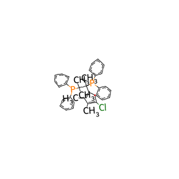 CC1=C(Cl)CC(C(C)(P(c2ccccc2)c2ccccc2)C(C)(C)P(c2ccccc2)c2ccccc2)=C1C